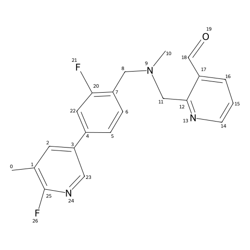 Cc1cc(-c2ccc(CN(C)Cc3ncccc3C=O)c(F)c2)cnc1F